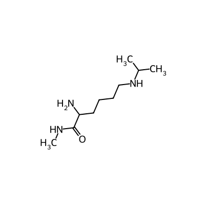 CNC(=O)C(N)CCCCNC(C)C